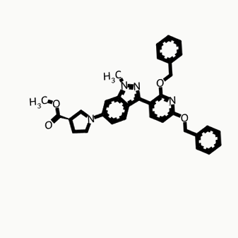 COC(=O)[C@@H]1CCN(c2ccc3c(-c4ccc(OCc5ccccc5)nc4OCc4ccccc4)nn(C)c3c2)C1